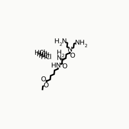 CCOC(=O)CCCCCNC(=O)[C@@H](N)CCC(=O)N(CCN)CCN.Cl.Cl.Cl.Cl